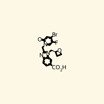 O=C(O)c1ccc2nc(Cn3cc(F)c(Br)cc3=O)n(C[C@@H]3CCO3)c2c1